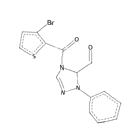 O=CC1N(C(=O)c2sccc2Br)C=NN1c1ccccc1